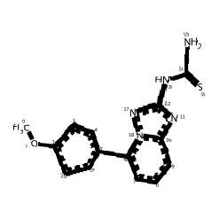 COc1ccc(-c2cccc3nc(NC(N)=S)nn23)cc1